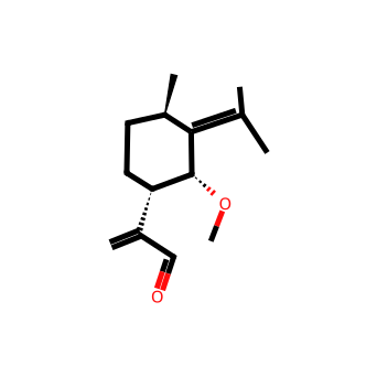 C=C(C=O)[C@@H]1CC[C@@H](C)C(=C(C)C)[C@@H]1OC